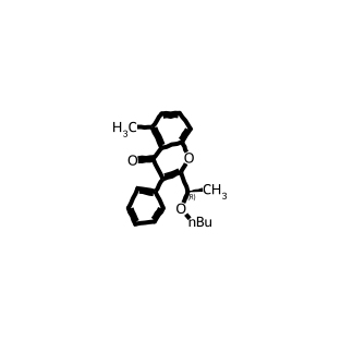 CCCCO[C@H](C)c1oc2cccc(C)c2c(=O)c1-c1ccccc1